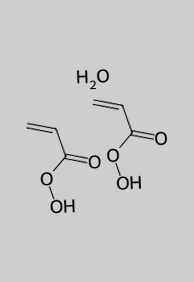 C=CC(=O)OO.C=CC(=O)OO.O